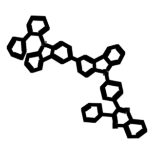 c1ccc(-c2ccccc2-n2c3ccccc3c3cc(-c4ccc5c(c4)c4ccccc4n5-c4ccc(-c5nc6ccccc6nc5-c5ccccc5)cc4)ccc32)cc1